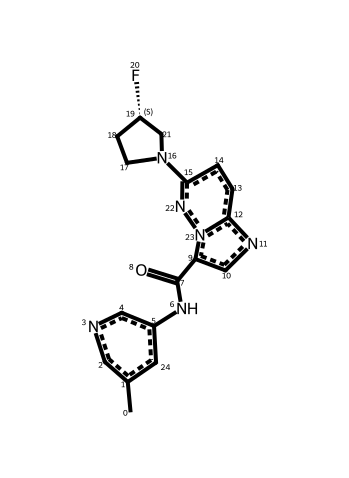 Cc1cncc(NC(=O)c2cnc3ccc(N4CC[C@H](F)C4)nn23)c1